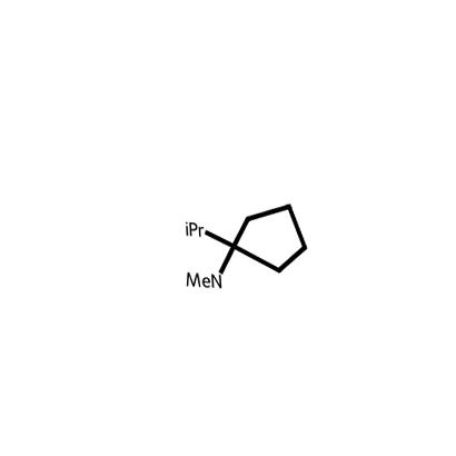 CNC1(C(C)C)CCCC1